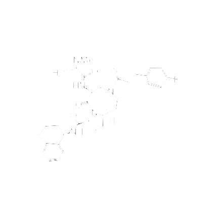 CN[C@@H](C)C(=O)N[C@H]1CN(C(=O)CCc2ccc(F)cc2)CC[C@H]2CC[C@@H](C(=O)N[C@@H]3CCCc4ccccc43)N2C1=O